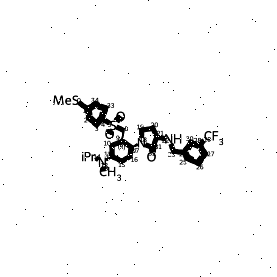 CSc1ccc(S(=O)(=O)C[C@@H]2C[C@H](N(C)C(C)C)CC[C@@H]2N2CCC(NCc3cccc(C(F)(F)F)c3)C2=O)cc1